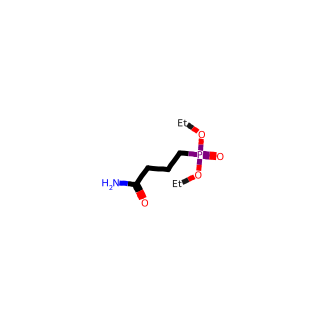 CCOP(=O)(CCCC(N)=O)OCC